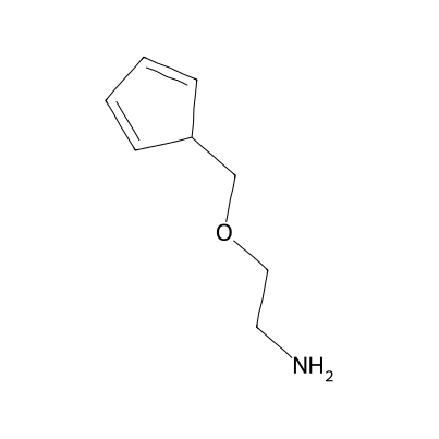 NCCOCC1C=CC=C1